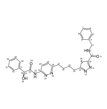 O=C(NCc1ccccc1)c1nnc(CCCCc2ccc(NC(=O)[C@@H](O)c3ccccc3)nn2)s1